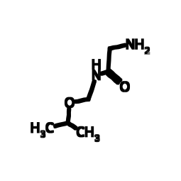 CC(C)OCNC(=O)CN